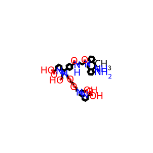 CC1c2ccccc2N(C(=O)CCNC(=O)c2ccc(C(c3cccc(C(=O)O)n3)N(CCO)CCOCCOCCN(CCO)Cc3cccc(C(=O)O)n3)cc2)Cc2ccccc2C1NN